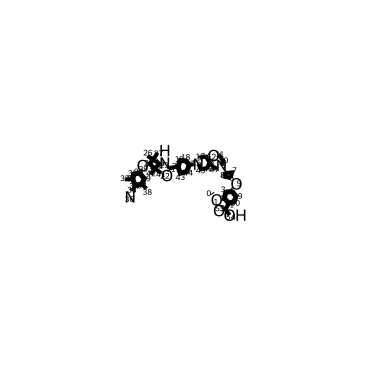 COc1cc(OC2CC(N3CCOC4(CCN(c5ccc(C(=O)NC6C(C)(C)C(Oc7cc(C)c(C#N)c(C)c7)C6(C)C)cc5)CC4)C3)C2)ccc1C(=O)O